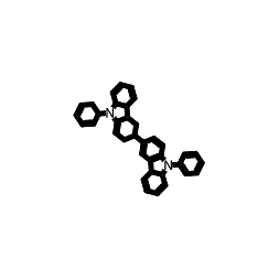 C1=CCC(N2C3=CCC(c4ccc5c(c4)C4C=CC=CC4N5c4ccccc4)CC3C3C=CC=CC32)C=C1